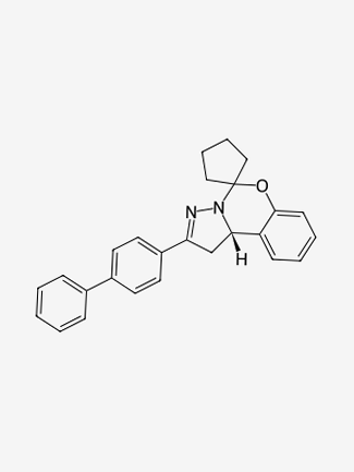 c1ccc(-c2ccc(C3=NN4[C@@H](C3)c3ccccc3OC43CCCC3)cc2)cc1